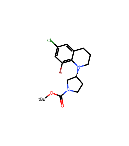 CC(C)(C)OC(=O)N1CC[C@H](N2CCCc3cc(Cl)cc(Br)c32)C1